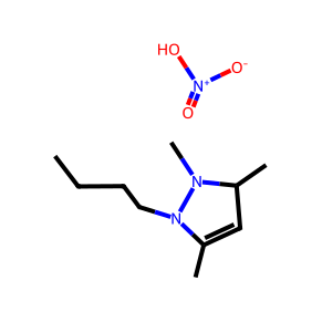 CCCCN1C(C)=CC(C)N1C.O=[N+]([O-])O